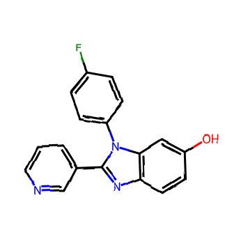 Oc1ccc2nc(-c3cccnc3)n(-c3ccc(F)cc3)c2c1